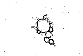 CC(C)C[C@@H]1C[C@@H](C)/C=C/[C@H](O)[C@@H]2CC[C@H]2CN2C[C@@]3(CCCc4cc(Cl)ccc43)COc3ccc(cc32)C(=O)NS1(=O)=O